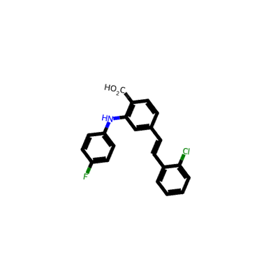 O=C(O)c1ccc(C=Cc2ccccc2Cl)cc1Nc1ccc(F)cc1